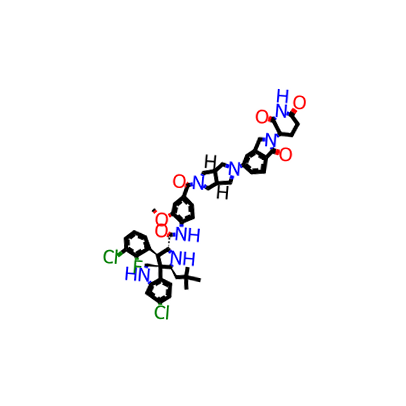 COc1cc(C(=O)N2C[C@H]3CN(c4ccc5c(c4)CN(C4CCC(=O)NC4=O)C5=O)C[C@@H]3C2)ccc1NC(=O)[C@@H]1N[C@@H](CC(C)(C)C)[C@@]2(CNc3cc(Cl)ccc32)[C@H]1c1cccc(Cl)c1F